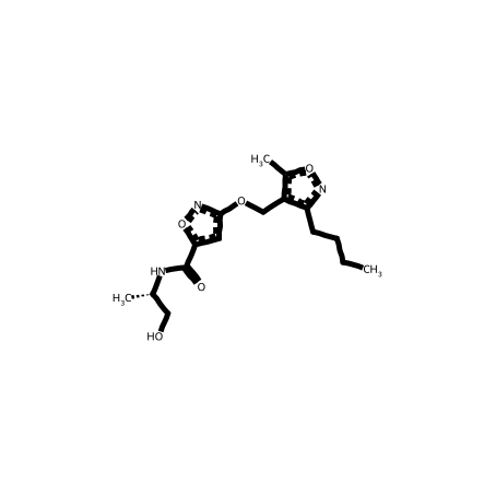 CCCCc1noc(C)c1COc1cc(C(=O)N[C@@H](C)CO)on1